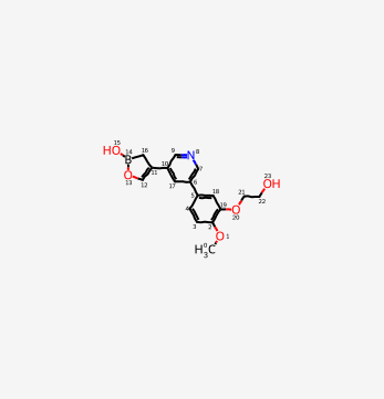 COc1ccc(-c2cncc(C3=COB(O)C3)c2)cc1OCCO